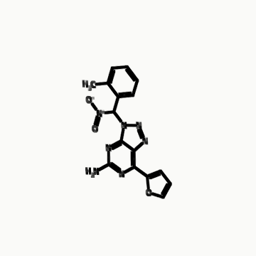 Cc1ccccc1C(n1nnc2c(-c3ccco3)nc(N)nc21)[N+](=O)[O-]